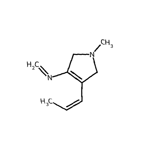 C=NC1=C(/C=C\C)CN(C)C1